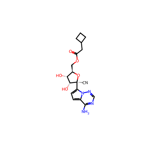 N#C[C@@]1(c2ccc3c(N)ncnn23)O[C@H](COC(=O)CC2CCC2)[C@@H](O)[C@H]1O